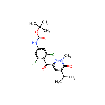 CC(C)c1cc(C(=O)c2c(Cl)cc(NC(=O)OC(C)(C)C)cc2Cl)nn(C)c1=O